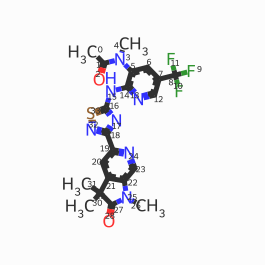 CC(=O)N(C)c1cc(C(F)(F)F)cnc1Nc1nc(-c2cc3c(cn2)N(C)C(=O)C3(C)C)ns1